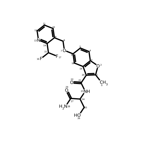 Cc1oc2ccc(OCc3cccnc3C(F)F)cc2c1C(=O)NC(CO)C(N)=O